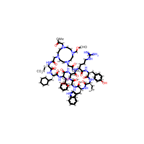 COC(=O)CN1CCN(COC=O)CCN(CC(=O)OC)CCN(CC(=O)N[C@@H](CC(=O)O)C(=O)N[C@@H](CC2CCCCC2)C(=O)NC(Cc2ccccc2)C(=O)NC(CO)C(=O)NC(CCCNC(=N)N)C(=O)N[C@@H](Cc2ccc(O)cc2)C(=O)N[C@@H](CC(C)C)C(=O)N[C@@H](Cc2c[nH]c3ccccc23)C(=O)N[C@@H](CO)C(N)=O)CC1